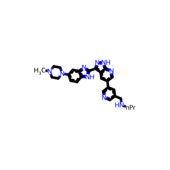 CCCNCc1cncc(-c2cnc3[nH]nc(-c4nc5cc(N6CCN(C)CC6)ccc5[nH]4)c3c2)c1